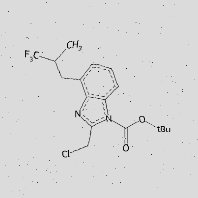 CC(Cc1cccc2c1nc(CCl)n2C(=O)OC(C)(C)C)C(F)(F)F